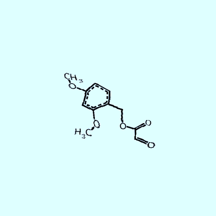 COc1ccc(COC(=O)C=O)c(OC)c1